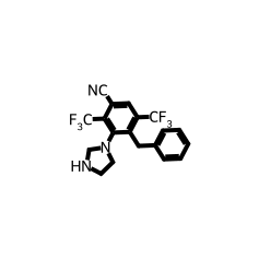 N#Cc1cc(C(F)(F)F)c(Cc2ccccc2)c(N2CCNC2)c1C(F)(F)F